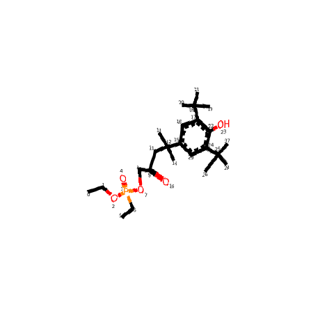 CCOP(=O)(CC)OCC(=O)CC(C)(C)c1cc(C(C)(C)C)c(O)c(C(C)(C)C)c1